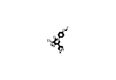 CCn1nnc2c(-c3cnn(C)c3)cn(-c3ccc(OCF)cc3)c(=O)c21